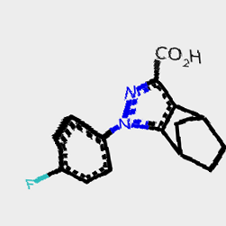 O=C(O)c1nn(-c2ccc(F)cc2)c2c1C1CCC2C1